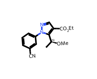 CCOC(=O)c1cnn(-c2cccc(C#N)c2)c1[C@H](C)OC